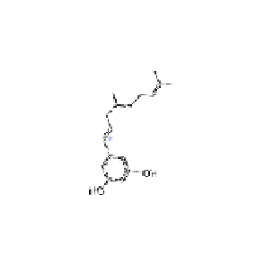 CC(C)=CCCC(C)C/C=C/c1cc(O)cc(O)c1